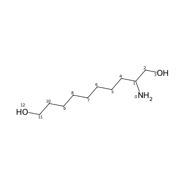 NC(CO)CCCCCCCCO